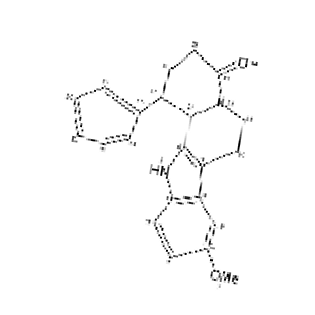 COc1ccc2[nH]c3c(c2c1)CCN1C(=O)CCC(c2ccccc2)C31